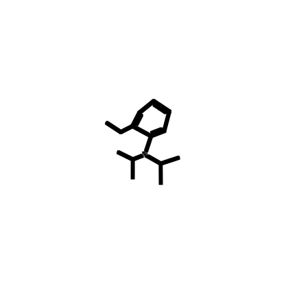 CCc1ccccc1N(C(C)C)C(C)C